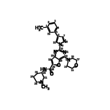 Cc1cccc(-c2cnn(-c3nc(N4CCOCC4)c4oc(C(=O)NC5CCCN(C)C5)cc4n3)c2)c1